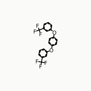 FC(F)(F)c1cccc(Oc2ccc(Oc3cccc(C(F)(F)F)c3)cc2)c1